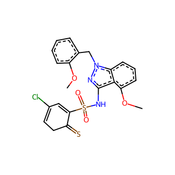 COc1ccccc1Cn1nc(NS(=O)(=O)C2=CC(Cl)=CCC2=S)c2c(OC)cccc21